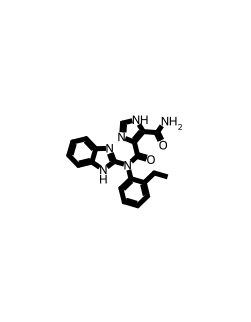 CCc1ccccc1N(C(=O)c1nc[nH]c1C(N)=O)c1nc2ccccc2[nH]1